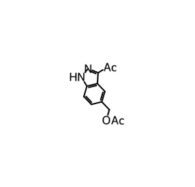 CC(=O)OCc1ccc2[nH]nc(C(C)=O)c2c1